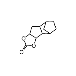 O=C1OC2CC3C4CCC(C4)C3C2O1